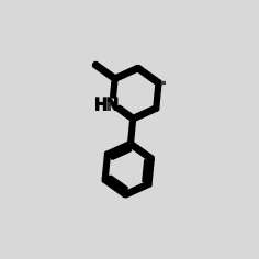 CC1C[CH]CC(c2ccccc2)N1